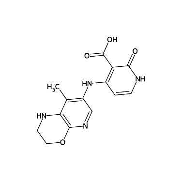 Cc1c(Nc2cc[nH]c(=O)c2C(=O)O)cnc2c1NCCO2